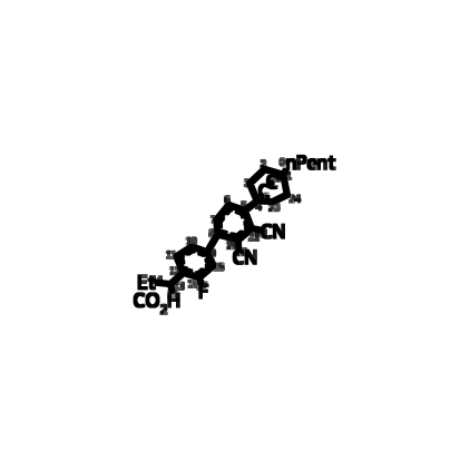 CCCCCC12CCC(c3ccc(-c4ccc(C(CC)C(=O)O)c(F)c4)c(C#N)c3C#N)(CC1)CC2